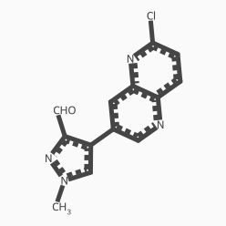 Cn1cc(-c2cnc3ccc(Cl)nc3c2)c(C=O)n1